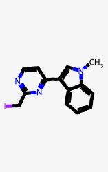 Cn1cc(-c2ccnc(CI)n2)c2ccccc21